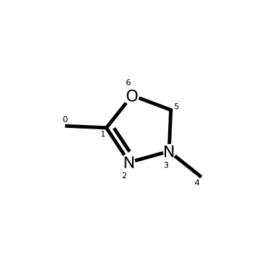 CC1=NN(C)CO1